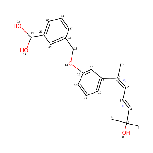 C/C(=C/C=C/C(C)(C)O)c1cccc(OCc2cccc(C(O)O)c2)c1